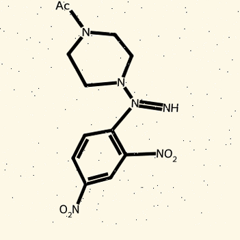 CC(=O)N1CCN([N+](=N)c2ccc([N+](=O)[O-])cc2[N+](=O)[O-])CC1